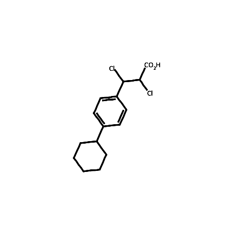 O=C(O)C(Cl)C(Cl)c1ccc(C2CCCCC2)cc1